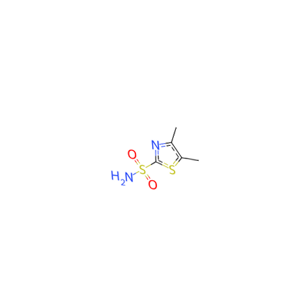 Cc1nc(S(N)(=O)=O)sc1C